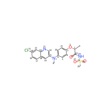 CC(Oc1ccc(N(C)c2cnc3cc(Cl)ccc3c2)cc1)C(=O)NS(C)(=O)=O